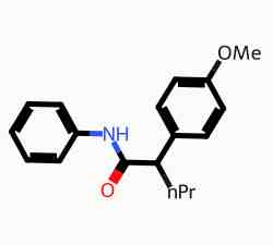 CCCC(C(=O)Nc1ccccc1)c1ccc(OC)cc1